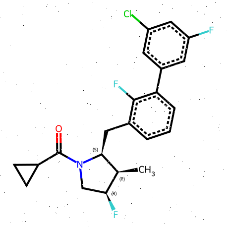 C[C@H]1[C@@H](F)CN(C(=O)C2CC2)[C@H]1Cc1cccc(-c2cc(F)cc(Cl)c2)c1F